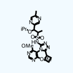 COc1ncnc(OC)c1-n1c(NS(=O)(=O)C(C)C(OC(C)C)c2cnc(C)cn2)nnc1C1CCC1